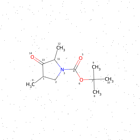 CC1CN(C(=O)OC(C)(C)C)C(C)C1=O